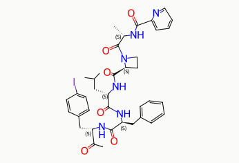 CC(=O)[C@H](Cc1ccc(I)cc1)NC(=O)[C@H](Cc1ccccc1)NC(=O)[C@H](CC(C)C)NC(=O)[C@@H]1CCN1C(=O)[C@H](C)NC(=O)c1ccccn1